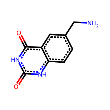 NCc1ccc2[nH]c(=O)[nH]c(=O)c2c1